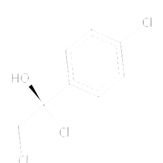 O[C@@](Cl)(CCl)c1ccc(Cl)cc1